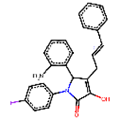 O=C1C(O)=C(C/C=C/c2ccccc2)C(c2ccccc2[N+](=O)[O-])N1c1ccc(I)cc1